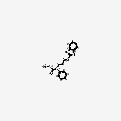 CC(C)(C)OC(=O)N(CCCSc1nc2ccccc2[nH]1)c1ccccc1